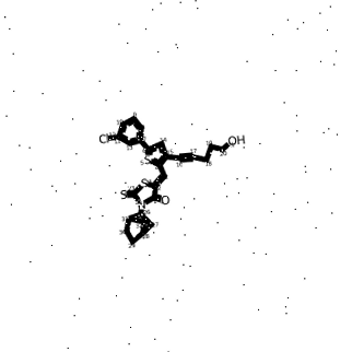 O=C1/C(=C/c2sc(-c3cccc(Cl)c3)cc2C#CCCCO)SC(=S)N1C1CC2CCC1C2